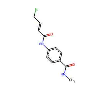 CNC(=O)c1ccc(NC(=O)/C=C/CBr)cc1